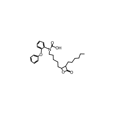 CCCCCCC1C(=O)OC1CCCCCN(C(=O)O)c1ccccc1Oc1ccccc1